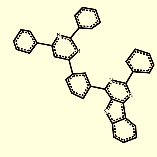 c1ccc(-c2cc(-c3cccc(-c4nc(-c5ccccc5)nc5c4sc4ccccc45)c3)nc(-c3ccccc3)n2)cc1